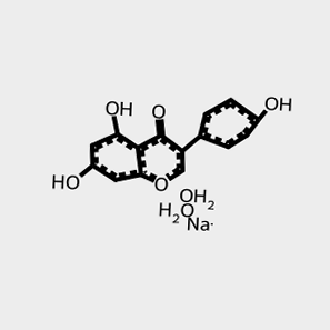 O.O.O=c1c(-c2ccc(O)cc2)coc2cc(O)cc(O)c12.[Na]